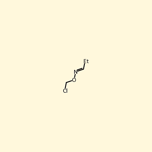 [CH2]CC=NOCCl